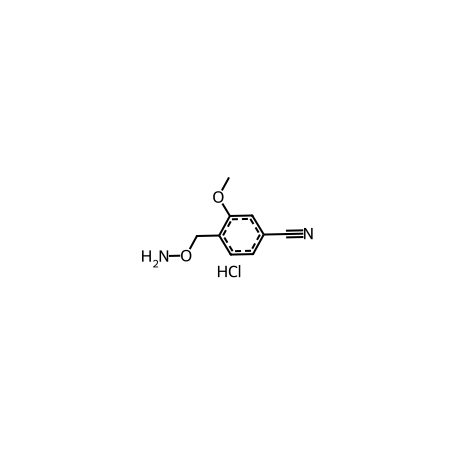 COc1cc(C#N)ccc1CON.Cl